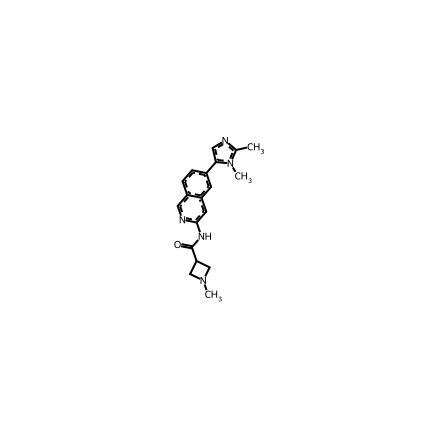 Cc1ncc(-c2ccc3cnc(NC(=O)C4CN(C)C4)cc3c2)n1C